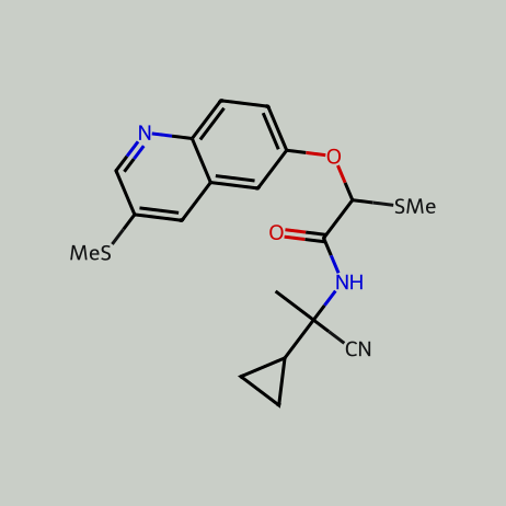 CSc1cnc2ccc(OC(SC)C(=O)NC(C)(C#N)C3CC3)cc2c1